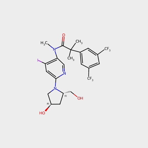 CN(C(=O)C(C)(C)c1cc(C(F)(F)F)cc(C(F)(F)F)c1)c1cnc(N2C[C@H](O)C[C@H]2CO)cc1I